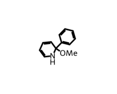 COC1(c2ccccc2)C=CC=CN1